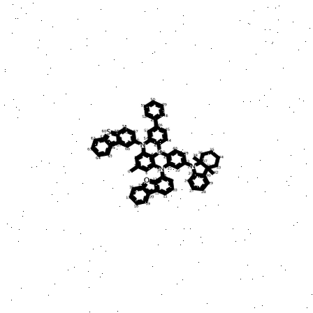 Cc1cc2c3c(c1)N(c1cccc4c1oc1ccccc14)c1cc(N4c5ccccc5C5(C)CCCCC45C)ccc1B3c1ccc(-c3ccccc3)cc1N2c1ccc2sc3ccccc3c2c1